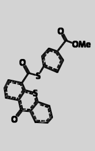 COC(=O)c1ccc(SC(=O)c2cccc3c(=O)c4ccccc4sc23)cc1